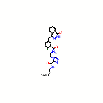 COCCNC(=O)c1nnc2n1CCN(C(=O)c1cc(Cc3n[nH]c(=O)c4ccccc34)ccc1F)C2